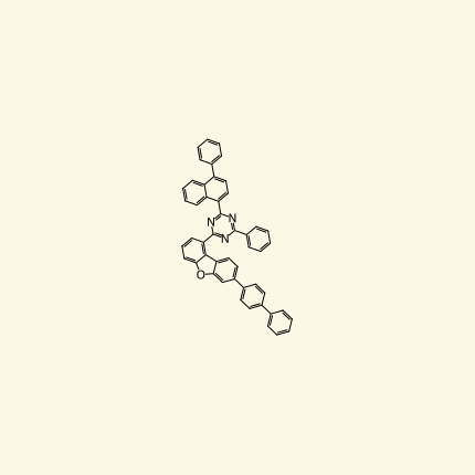 c1ccc(-c2ccc(-c3ccc4c(c3)oc3cccc(-c5nc(-c6ccccc6)nc(-c6ccc(-c7ccccc7)c7ccccc67)n5)c34)cc2)cc1